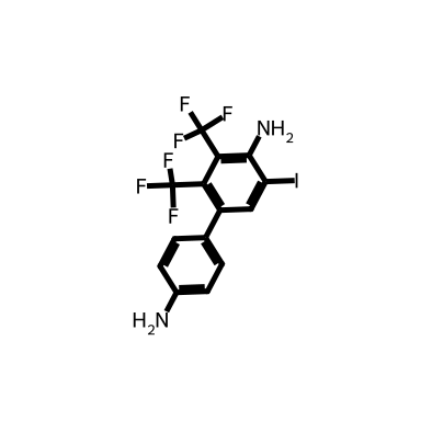 Nc1ccc(-c2cc(I)c(N)c(C(F)(F)F)c2C(F)(F)F)cc1